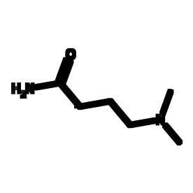 CN(C)CC[CH]C(N)=O